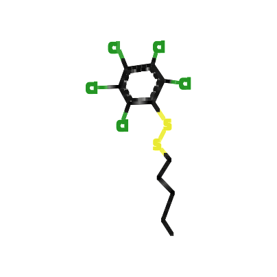 CCCCCSSc1c(Cl)c(Cl)c(Cl)c(Cl)c1Cl